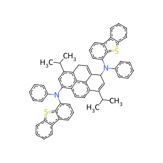 CC(C)C1=CC(N(c2ccccc2)c2cccc3c2sc2ccccc23)C2=CCc3c(C(C)C)cc(N(c4ccccc4)c4cccc5c4sc4ccccc45)c4ccc1c2c34